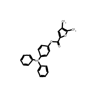 O=C(Oc1ccc([SH](c2ccccc2)c2ccccc2)cc1)c1cc(C(F)(F)F)c(C(F)(F)F)o1